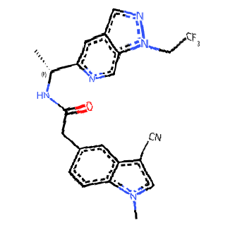 C[C@@H](NC(=O)Cc1ccc2c(c1)c(C#N)cn2C)c1cc2cnn(CC(F)(F)F)c2cn1